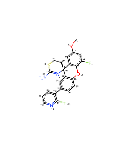 COc1cc(F)c2c(c1)[C@]1(CCSC(N)=N1)c1cc(-c3cccnc3F)ccc1O2